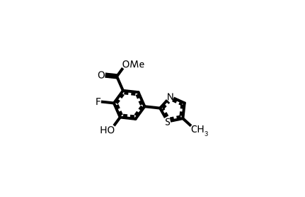 COC(=O)c1cc(-c2ncc(C)s2)cc(O)c1F